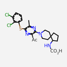 CC(=O)c1nc(Sc2cccc(Cl)c2Cl)c(C)nc1N1CCC2(CCCC2NC(=O)O)CC1